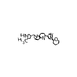 C[C@H]1C[C@H](Cn2ccc3nc(-c4cnn(C5CCCCO5)c4)ccc32)CN1